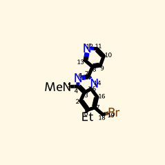 CCc1cc2c(NC)nc(-c3cccnc3)nc2cc1CBr